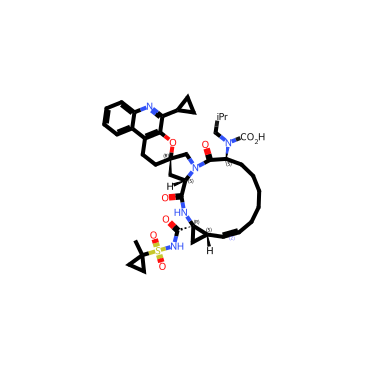 CC(C)CN(C(=O)O)[C@H]1CCCCC/C=C\[C@@H]2C[C@@]2(C(=O)NS(=O)(=O)C2(C)CC2)NC(=O)[C@@H]2C[C@]3(CCc4c(c(C5CC5)nc5ccccc45)O3)CN2C1=O